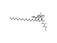 CCCCCCCCCCCCCCCCC(CC1=CC(O)(C(C)C)C=C(CCCCCC)C1)C(=O)O